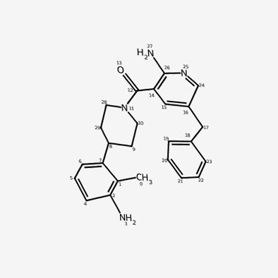 Cc1c(N)cccc1C1CCN(C(=O)c2cc(Cc3ccccc3)cnc2N)CC1